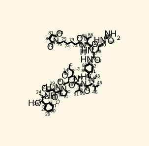 CC[C@H](C)[C@@H]([C@@H](CC(=O)N1CCC[C@@]1(N)[C@H](OC)[C@@H](C)C(=O)N[C@H](C)[C@@H](O)c1ccccc1)OC)N(C)C(=O)C(NC(=O)[C@H](C(C)C)N(C)Cc1ccc(NC(=O)[C@H](CCCNC(N)=O)NC(=O)C(NC(=O)CCCCCN2C(=O)C=CC2=O)C(C)C)cc1)C(C)C